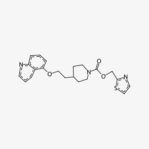 O=C(OCc1nccs1)N1CCC(CCOc2cccc3ncccc23)CC1